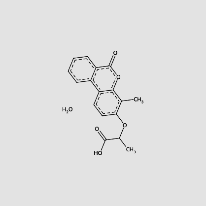 Cc1c(OC(C)C(=O)O)ccc2c1oc(=O)c1ccccc12.O